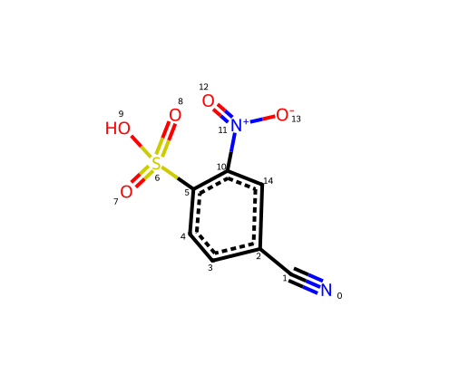 N#Cc1ccc(S(=O)(=O)O)c([N+](=O)[O-])c1